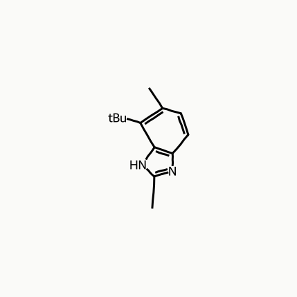 Cc1nc2ccc(C)c(C(C)(C)C)c2[nH]1